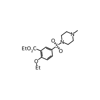 CCOC(=O)c1cc(S(=O)(=O)N2CCN(C)CC2)ccc1OCC